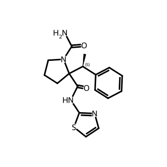 C[C@@H](c1ccccc1)C1(C(=O)Nc2nccs2)CCCN1C(N)=O